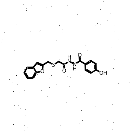 O=C(CSCc1cc2ccccc2o1)NNC(=O)c1ccc(O)cc1